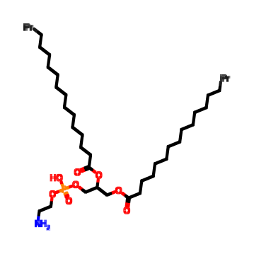 CC(C)CCCCCCCCCCCCCC(=O)OCC(COP(=O)(O)OCCN)OC(=O)CCCCCCCCCCCCCC(C)C